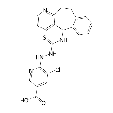 O=C(O)c1cnc(NNC(=S)NC2c3ccccc3CCc3ncccc32)c(Cl)c1